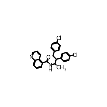 CC(NC(=O)c1cccc2ncccc12)C(Cc1ccc(Cl)cc1)c1ccc(Cl)cc1